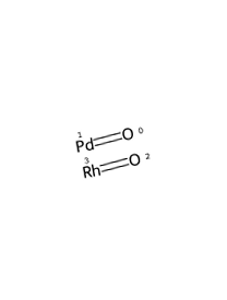 [O]=[Pd].[O]=[Rh]